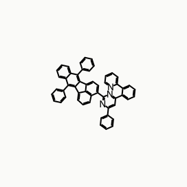 c1ccc(-c2cc(-c3ccccc3-c3ccccn3)nc(-c3ccc4c5c(cccc35)-c3c-4c(-c4ccccc4)c4ccccc4c3-c3ccccc3)n2)cc1